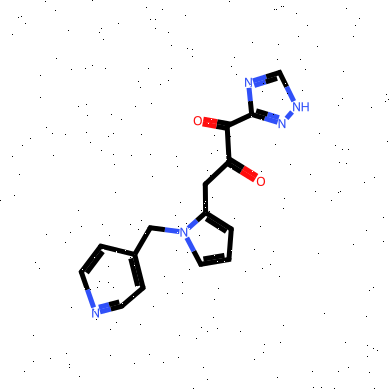 O=C(Cc1cccn1Cc1ccncc1)C(=O)c1nc[nH]n1